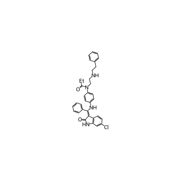 CCC(=O)N(CCNCCc1ccccc1)c1ccc(NC(=C2C(=O)Nc3cc(Cl)ccc32)c2ccccc2)cc1